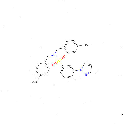 COc1ccc(CN(Cc2ccc(OC)cc2)S(=O)(=O)c2cccc(-n3cccn3)c2)cc1